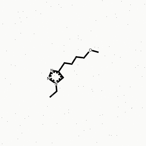 CCn1cc(CCCCOC)nn1